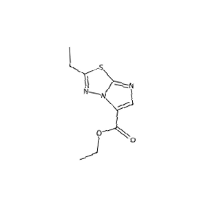 CCOC(=O)c1cnc2sc(CC)nn12